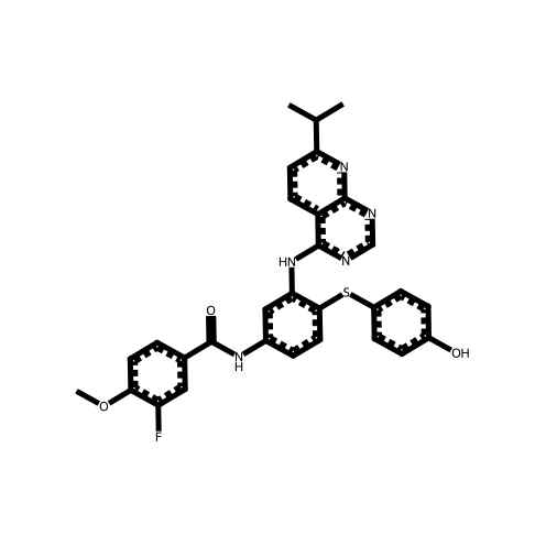 COc1ccc(C(=O)Nc2ccc(Sc3ccc(O)cc3)c(Nc3ncnc4nc(C(C)C)ccc34)c2)cc1F